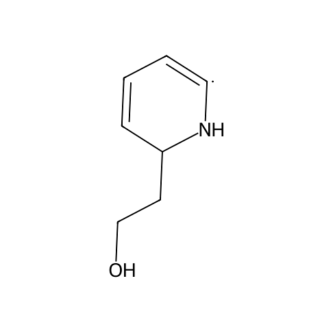 OCCC1C=CC=[C]N1